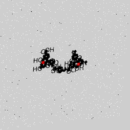 C/N=c1/ccc2c(-c3c(Cl)cc(C(=O)NCc4ccc(C(=O)NCc5c6oc7cc(O)ccc7c(-c7ccc(C(=O)O)cc7C(=O)O)c-6ccc5=O)cc4)c(Cl)c3C(=O)O)c3ccc(N(C)C)cc3oc-2c1